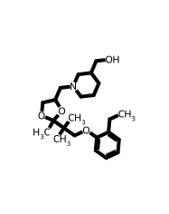 CCc1ccccc1OCC(C)(C)C1(C)OCC(CN2CCCC(CO)C2)O1